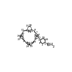 Bc1ccc(C2=CC3=CC4=NC(=CC5=NC(=CC6=NC(=CC2=N3)C=C6)C=C5)C=C4)cc1